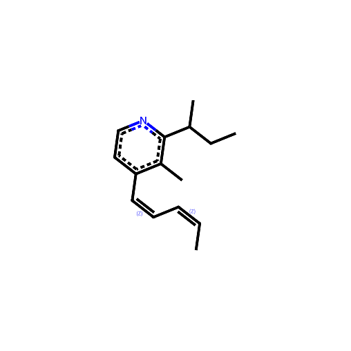 C/C=C\C=C/c1ccnc(C(C)CC)c1C